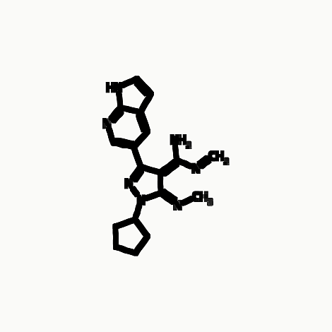 C=N/C(N)=C1/C(c2cnc3[nH]ccc3c2)=NN(C2CCCC2)/C1=N/C